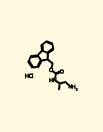 CC(CN)NC(=O)OCC1c2ccccc2-c2ccccc21.Cl